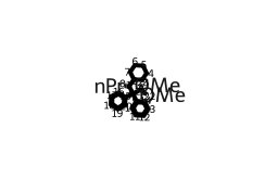 CCCC(C1CCCCC1)C(c1ccccc1)(c1ccccc1)C(OC)OC